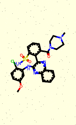 COc1ccc(Cl)c(Nc2nc3ccccc3nc2-c2c(C(=O)N3CCN(C)CC3)cccc2S(N)(=O)=O)c1